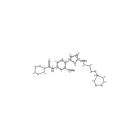 COc1cc(NC(=O)C2CCCCC2)ccc1-c1nnc(NCCCCN2CCCCC2)o1